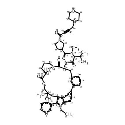 CCn1c(-c2cccnc2)c2c3cc(ccc31)-c1cccc(c1)C[C@H](NC(=O)[C@H](C(C)C)N(C)C(=O)[C@H]1CCN(C(=O)C#CCN3CCOCC3)C1)C(=O)N1CCC[C@H](N1)C(=O)OCC(C)(C)C2